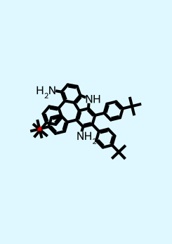 CC(C)(C)c1ccc(-c2c(N)c(-c3ccc(C(C)(C)C)cc3)c3c([nH]c4ccc(N)c(-c5ccc(C(C)(C)C)cc5)c43)c2-c2ccc(C(C)(C)C)cc2)cc1